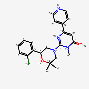 Cn1c(N2CC(c3ccccc3F)OC(C)(C)C2)nc(-c2ccncc2)cc1=O